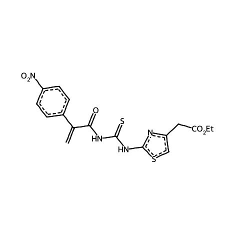 C=C(C(=O)NC(=S)Nc1nc(CC(=O)OCC)cs1)c1ccc([N+](=O)[O-])cc1